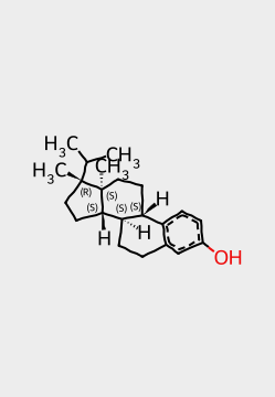 CC(C)[C@@]1(C)CC[C@H]2[C@@H]3CCc4cc(O)ccc4[C@H]3CC[C@@]21C